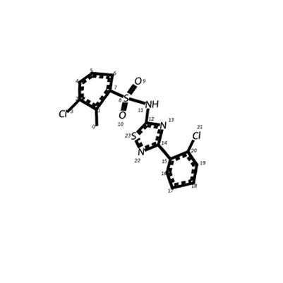 Cc1c(Cl)cccc1S(=O)(=O)Nc1nc(-c2ccccc2Cl)ns1